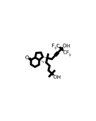 CC(C)(O)CCCC(C)(CC#CC(O)(C(F)(F)F)C(F)(F)F)[C@H]1CCC2C(=O)CCC[C@@]21C